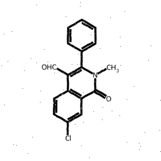 Cn1c(-c2ccccc2)c(C=O)c2ccc(Cl)cc2c1=O